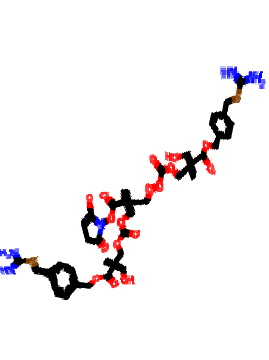 CC(CO)(COC(=O)OCC(C)(COOC(=O)OCC(C)(CO)C(=O)OCc1ccc(CSC(=N)N)cc1)C(=O)ON1C(=O)CCC1=O)C(=O)OCc1ccc(CSC(=N)N)cc1